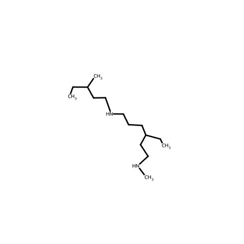 CCC(C)CCNCCCC(CC)CCNC